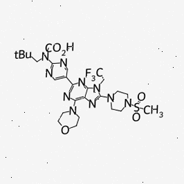 CC(C)(C)CN(C(=O)O)c1ncc(-c2nc(N3CCOCC3)c3nc(N4CCN(S(C)(=O)=O)CC4)n(CC(F)(F)F)c3n2)cn1